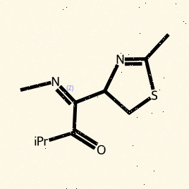 C/N=C(\C(=O)C(C)C)C1CSC(C)=N1